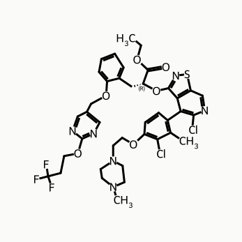 CCOC(=O)[C@@H](Cc1ccccc1OCc1cnc(OCCC(F)(F)F)nc1)Oc1nsc2cnc(Cl)c(-c3ccc(OCCN4CCN(C)CC4)c(Cl)c3C)c12